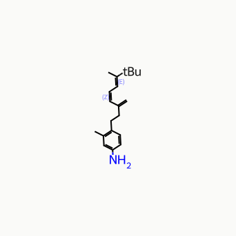 C=C(/C=C\C=C(/C)C(C)(C)C)CCc1ccc(N)cc1C